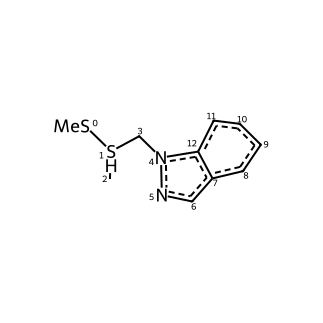 CS[SH](C)Cn1ncc2ccccc21